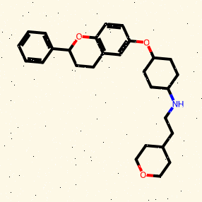 c1ccc(C2CCc3cc(OC4CCC(NCCC5CCOCC5)CC4)ccc3O2)cc1